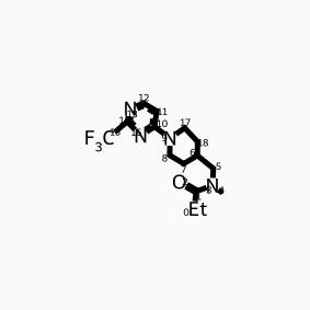 CCC(=O)N(C)CC1CCN(c2ccnc(C(F)(F)F)n2)CC1